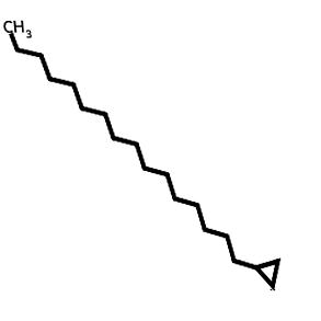 CCCCCCCCCCCCCCCCC1[C]C1